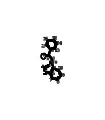 O=C(C[n+]1csc2ccccc21)c1ccccc1